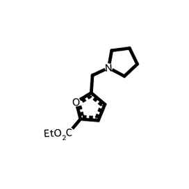 CCOC(=O)c1ccc(CN2CCCC2)o1